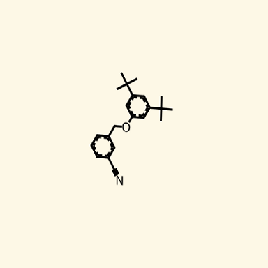 CC(C)(C)c1cc(OCc2cccc(C#N)c2)cc(C(C)(C)C)c1